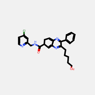 O=C(NCc1cc(Cl)ccn1)C1C=c2nc(CCCCCO)c(-c3ccccc3)nc2=CC1